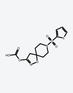 O=C(O)OC1=NOC2(CCN(S(=O)(=O)c3cccs3)CC2)C1